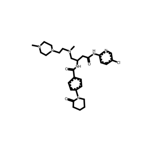 CN1CCN(CCN(C)CC(CC(=O)Nc2ccc(Cl)cn2)NC(=O)c2ccc(N3CCCCC3=O)cc2)CC1